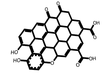 O=C(O)C1=CC2C(C(=O)O)=CC3CC(=O)C4C(=O)C5=CC6=CC=C(O)C7=c8c(O)ccc9c8=C8C(=C5C5=C4C3C2C2C1=CC(O9)C8C52)C67